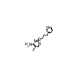 Nc1nc(OCCCc2cccnc2)ncc1F